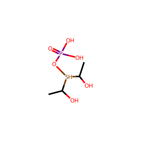 CC(O)[SH](OP(=O)(O)O)C(C)O